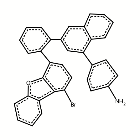 Nc1ccc(-c2cc(-c3ccccc3-c3ccc(Br)c4c3oc3ccccc34)cc3ccccc23)cc1